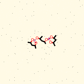 CC1CC(C)OP(OC(C)CC(C)OP2OC(C)CC(C)O2)O1